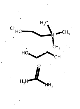 C[N+](C)(C)CCO.NC(N)=O.OCCO.[Cl-]